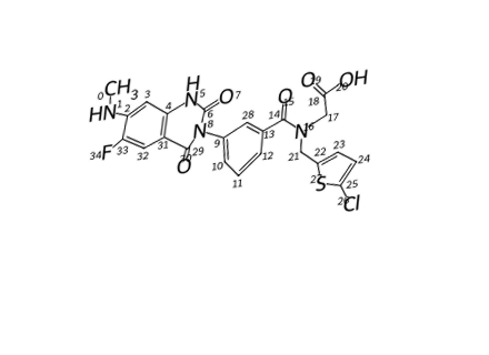 CNc1cc2[nH]c(=O)n(-c3cccc(C(=O)N(CC(=O)O)Cc4ccc(Cl)s4)c3)c(=O)c2cc1F